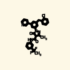 CC1=NN(c2cc(Cc3ccccc3Cl)cc(-c3cccnc3)c2)C(=O)C1C(=O)Nc1cccc(C(C)(F)F)c1